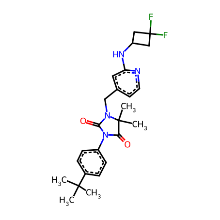 CC(C)(C)c1ccc(N2C(=O)N(Cc3ccnc(NC4CC(F)(F)C4)c3)C(C)(C)C2=O)cc1